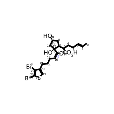 CC=CCCC(C(=O)O)C1C[C@H](O)C[C@@]1(O)/C(O)=C\CCCc1csc(Br)c1Br